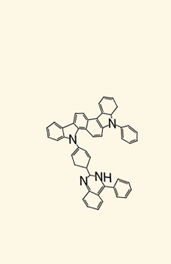 C1=CCC2C(=C1)c1c(ccc3c1ccc1c4ccccc4n(C4=CCC(C5N=c6ccccc6=C(c6ccccc6)N5)C=C4)c31)N2c1ccccc1